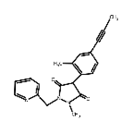 CC#Cc1ccc(C2C(=O)N(C)N(Cc3ccccn3)C2=O)c(C)c1